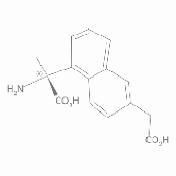 C[C@](N)(C(=O)O)c1cccc2cc(CC(=O)O)ccc12